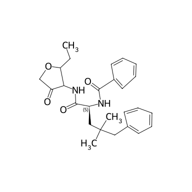 CCC1OCC(=O)C1NC(=O)[C@H](CC(C)(C)Cc1ccccc1)NC(=O)c1ccccc1